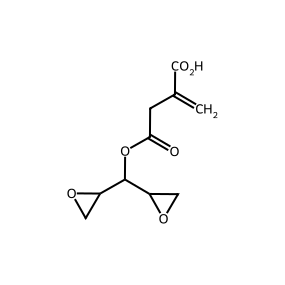 C=C(CC(=O)OC(C1CO1)C1CO1)C(=O)O